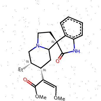 CC[C@@H]1CN2CC[C@@]3(C(=O)Nc4ccccc43)C2C[C@@H]1C(=COC)C(=O)OC